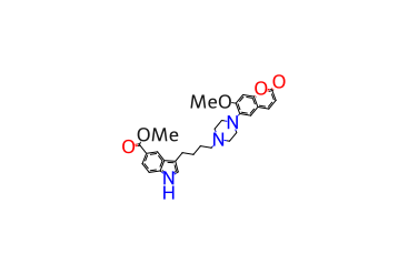 COC(=O)c1ccc2[nH]cc(CCCCN3CCN(c4cc5ccc(=O)oc5cc4OC)CC3)c2c1